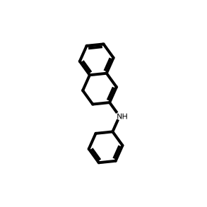 C1=CCC(NC2=Cc3ccccc3CC2)C=C1